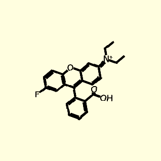 CC[N+](CC)=c1ccc2c(-c3ccccc3C(=O)O)c3cc(F)ccc3oc-2c1